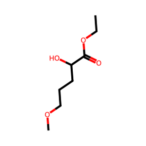 CCOC(=O)C(O)CCCOC